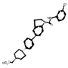 O=C(O)C[C@H]1CC[C@H](c2ccc(-c3ccc4c(c3)CCN4C(=O)Nc3cccc(Cl)c3)cc2)CC1